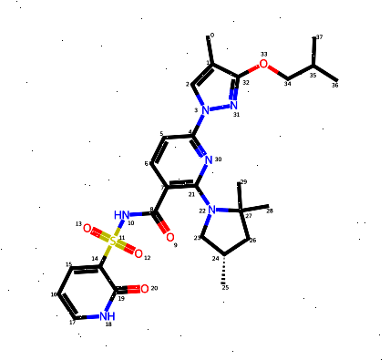 Cc1cn(-c2ccc(C(=O)NS(=O)(=O)c3ccc[nH]c3=O)c(N3C[C@@H](C)CC3(C)C)n2)nc1OCC(C)C